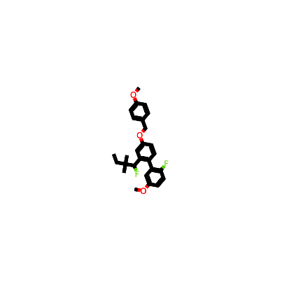 CCC(C)(C)C(F)c1cc(OCc2ccc(OC)cc2)ccc1-c1cc(OC)ccc1F